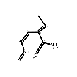 C=N/C=C\C(=C/C)C(N)=O